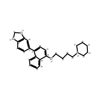 c1ccc2c(-c3ccc4c(c3)OCO4)ccc(OCCCCN3CCCCC3)c2c1